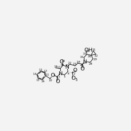 COC(=O)[C@@H]1CN(C(=O)OCc2ccccc2)C(C)C(=O)N1CCCC(=O)N1CCC2(CC2)[C@H](O)C1